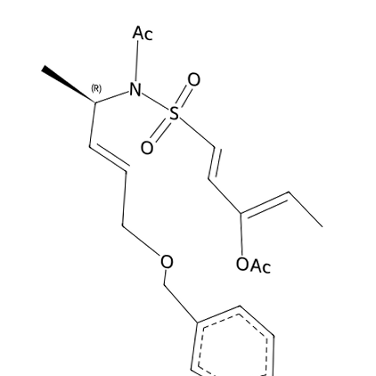 CC=C(C=CS(=O)(=O)N(C(C)=O)[C@H](C)C=CCOCc1ccccc1)OC(C)=O